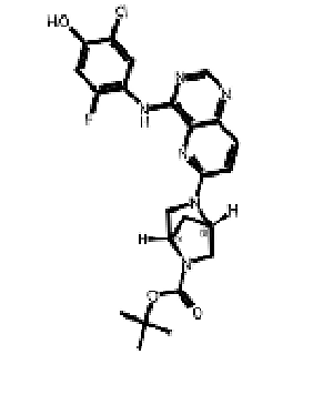 CC(C)(C)OC(=O)N1C[C@@H]2C[C@H]1CN2c1ccc2ncnc(Nc3cc(Cl)c(O)cc3F)c2n1